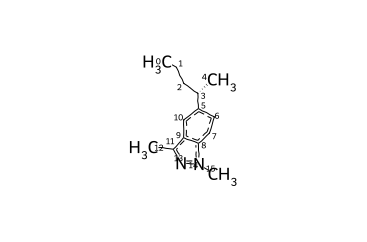 CCC[C@H](C)c1ccc2c(c1)c(C)nn2C